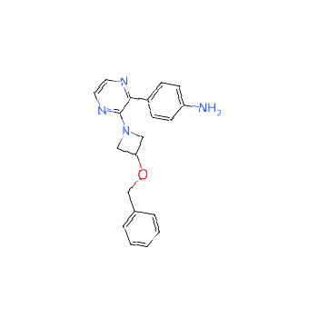 Nc1ccc(-c2nccnc2N2CC(OCc3ccccc3)C2)cc1